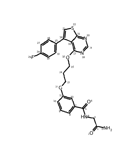 NC(=O)CNC(=O)c1cccc(OCCCOc2ncnc3scc(-c4ccc(F)cc4)c23)c1